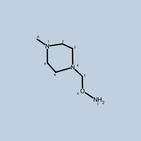 CN1CCN(CON)CC1